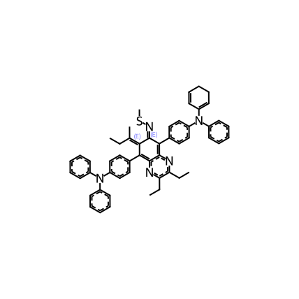 CC/C(C)=C1\C(c2ccc(N(c3ccccc3)c3ccccc3)cc2)=c2nc(CC)c(CC)nc2=C(c2ccc(N(C3=CCCC=C3)c3ccccc3)cc2)\C1=N\SC